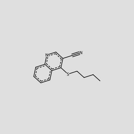 CCCCSc1c(C#N)cnc2ccccc12